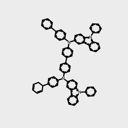 C1=CCC(c2ccc(N(c3ccc(-c4ccc(N(c5ccc(-c6ccccc6)cc5)c5ccc6c(c5)c5ccccc5n6-c5ccccc5)cc4)cc3)c3ccc4c(c3)c3ccccc3n4-c3ccccc3)cc2)C=C1